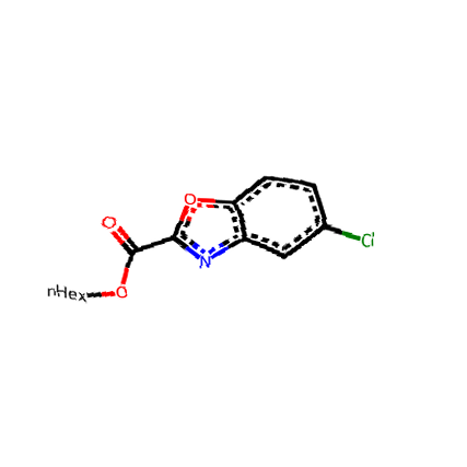 CCCCCCOC(=O)c1nc2cc(Cl)ccc2o1